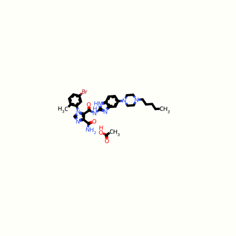 CC(=O)O.CCCCCN1CCN(c2ccc3[nH]c(NC(=O)c4c(C(N)=O)ncn4-c4cc(Br)ccc4C)nc3c2)CC1